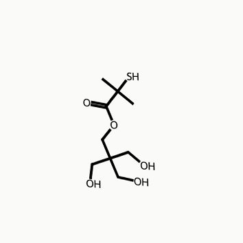 CC(C)(S)C(=O)OCC(CO)(CO)CO